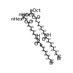 CCCCCCCCC(CCCCCC)COC(=O)CCCCCCCNC(=O)CCCCCCCCCBr.CCCCCCCCC(CCCCCC)COC(=O)CCCCCCCNC(=O)CCCCCCCCCBr